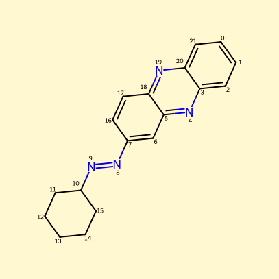 c1ccc2nc3cc(N=NC4CCCCC4)ccc3nc2c1